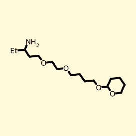 CCC(N)CCOCCOCCCCOC1CCCCO1